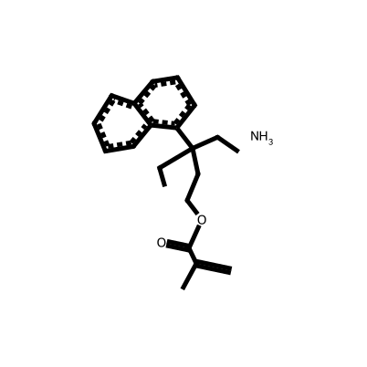 C=C(C)C(=O)OCCC(CC)(CC)c1cccc2ccccc12.N